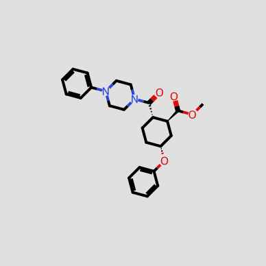 COC(=O)[C@H]1C[C@H](Oc2ccccc2)CC[C@@H]1C(=O)N1CCN(c2ccccc2)CC1